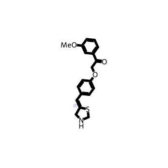 COc1cccc(C(=O)COc2ccc(/C=C3/CNCS3)cc2)c1